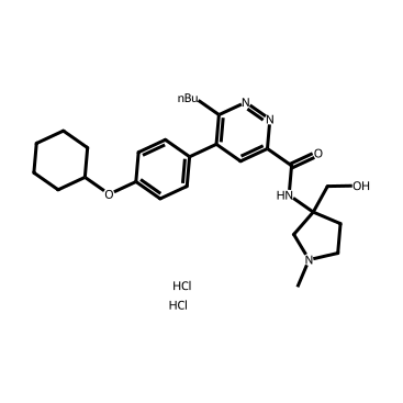 CCCCc1nnc(C(=O)NC2(CO)CCN(C)C2)cc1-c1ccc(OC2CCCCC2)cc1.Cl.Cl